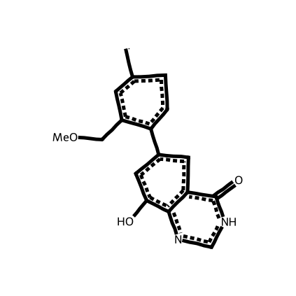 [CH2]c1ccc(-c2cc(O)c3nc[nH]c(=O)c3c2)c(COC)c1